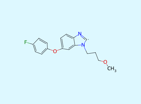 COCCCn1[c]nc2ccc(Oc3ccc(F)cc3)cc21